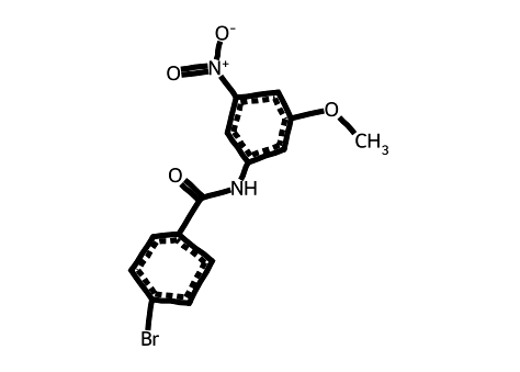 COc1cc(NC(=O)c2ccc(Br)cc2)cc([N+](=O)[O-])c1